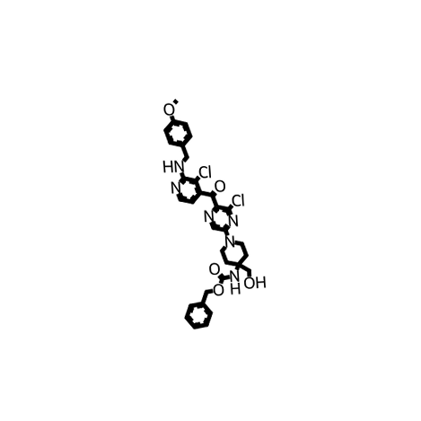 COc1ccc(CNc2nccc(C(=O)c3ncc(N4CCC(CO)(NC(=O)OCc5ccccc5)CC4)nc3Cl)c2Cl)cc1